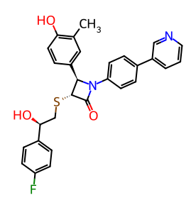 Cc1cc([C@@H]2[C@@H](SC[C@H](O)c3ccc(F)cc3)C(=O)N2c2ccc(-c3cccnc3)cc2)ccc1O